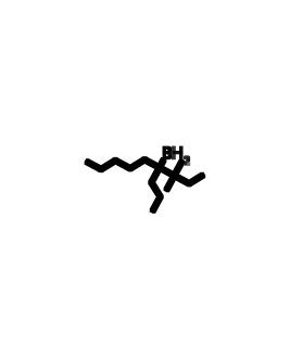 BC(CCC)(CCCCC)C(C)(C)CC